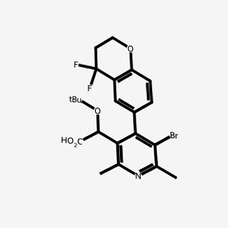 Cc1nc(C)c(C(OC(C)(C)C)C(=O)O)c(-c2ccc3c(c2)C(F)(F)CCO3)c1Br